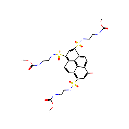 CC(C)(C)OC(=O)NCCNS(=O)(=O)c1cc(O)c2ccc3c(S(=O)(=O)NCCNC(=O)OC(C)(C)C)cc(S(=O)(=O)NCCNC(=O)OC(C)(C)C)c4ccc1c2c34